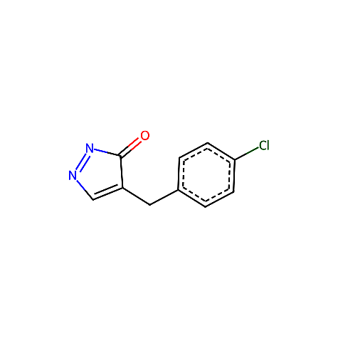 O=C1N=NC=C1Cc1ccc(Cl)cc1